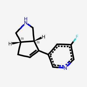 Fc1cncc(C2=CC[C@@H]3CNC[C@H]23)c1